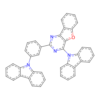 c1cc(-c2nc(-n3c4ccccc4c4ccccc43)c3oc4ccccc4c3n2)cc(-n2c3ccccc3c3ccccc32)c1